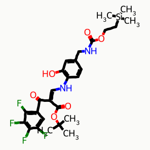 CC(C)(C)OC(=O)C(=CNc1ccc(CNC(=O)OCC[Si](C)(C)C)cc1O)C(=O)c1cc(F)c(F)c(F)c1F